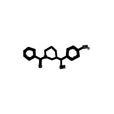 Cc1ccc(C(O)C2CCCN(C(=O)c3ccccc3)C2)cc1